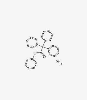 O=C(Oc1ccccc1)C(c1ccccc1)(c1ccccc1)c1ccccc1.P